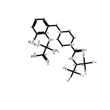 Cc1cccc(CN2CCN(C(=O)OC(C(F)(F)F)C(F)(F)F)CC2)c1OC(C)(C)C(=O)O